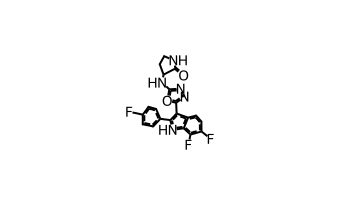 O=C1NCCC1Nc1nnc(-c2c(-c3ccc(F)cc3)[nH]c3c(F)c(F)ccc23)o1